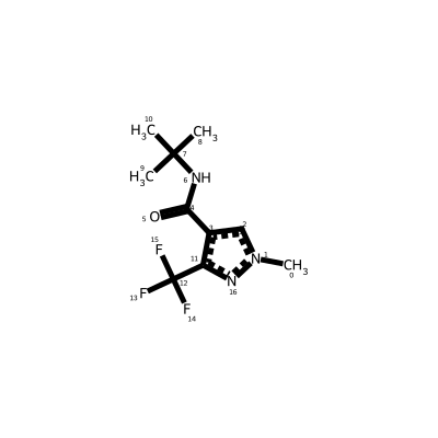 Cn1cc(C(=O)NC(C)(C)C)c(C(F)(F)F)n1